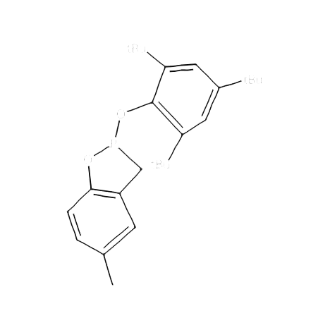 Cc1ccc2c(c1)CP(Oc1c(C(C)(C)C)cc(C(C)(C)C)cc1C(C)(C)C)O2